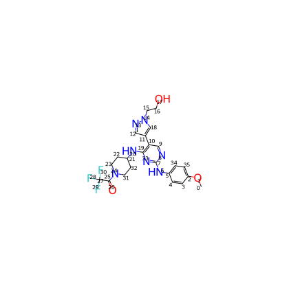 COc1ccc(Nc2ncc(-c3cnn(CCO)c3)c(NC3CCN(C(=O)C(F)(F)F)CC3)n2)cc1